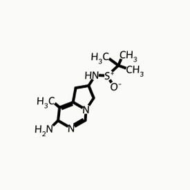 CC1=C2CC(N[S+]([O-])C(C)(C)C)CN2C=NC1N